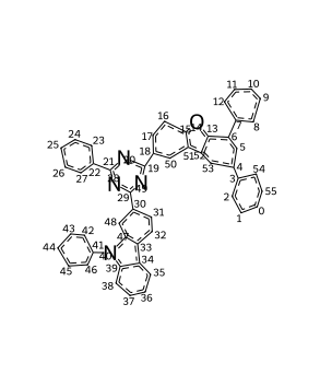 c1ccc(-c2cc(-c3ccccc3)c3oc4ccc(-c5nc(-c6ccccc6)nc(-c6ccc7c8ccccc8n(-c8ccccc8)c7c6)n5)cc4c3c2)cc1